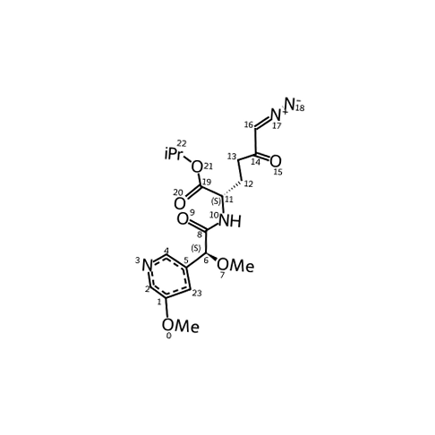 COc1cncc([C@H](OC)C(=O)N[C@@H](CCC(=O)C=[N+]=[N-])C(=O)OC(C)C)c1